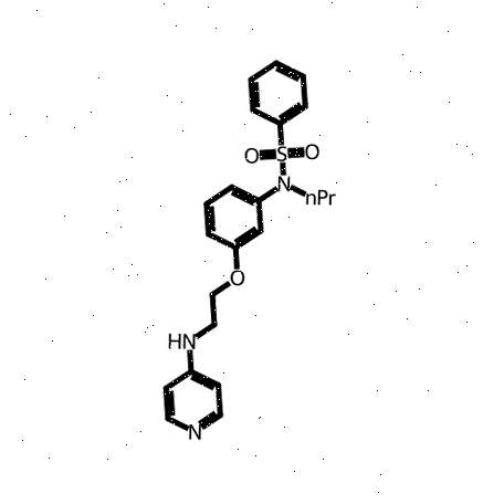 CCCN(c1cccc(OCCNc2ccncc2)c1)S(=O)(=O)c1ccccc1